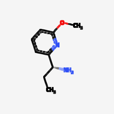 CC[C@@H](N)c1cccc(OC)n1